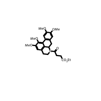 CCOC(=O)CCC(=O)N1CCc2cc(OC)c(OC)c3c2C1Cc1cc(OC)c(OC)cc1-3